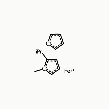 C[c-]1cccc1C(C)C.[Fe+2].c1cc[cH-]c1